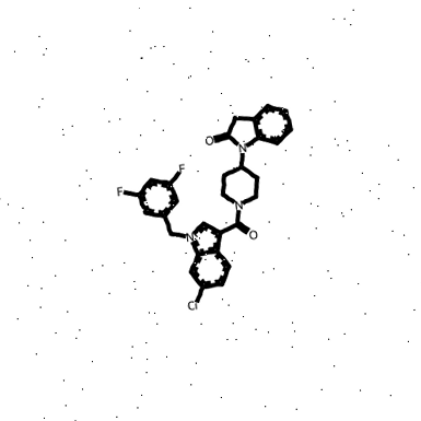 O=C(c1cn(Cc2cc(F)cc(F)c2)c2cc(Cl)ccc12)N1CCC(N2C(=O)Cc3ccccc32)CC1